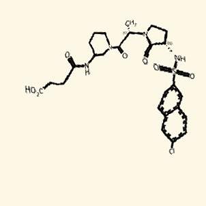 C[C@@H](C(=O)N1CCCC(NC(=O)CCC(=O)O)C1)N1CC[C@H](NS(=O)(=O)c2ccc3cc(Cl)ccc3c2)C1=O